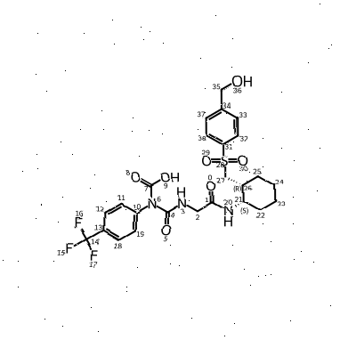 O=C(CNC(=O)N(C(=O)O)c1ccc(C(F)(F)F)cc1)N[C@H]1CCCC[C@H]1CS(=O)(=O)c1ccc(CO)cc1